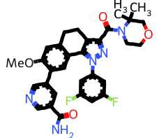 COc1cc2c(cc1-c1cncc(C(N)=O)c1)-c1c(c(C(=O)N3CCOCC3(C)C)nn1-c1cc(F)cc(F)c1)CC2